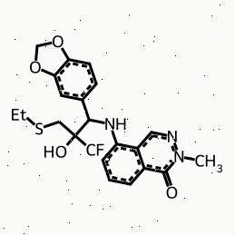 CCSCC(O)(C(Nc1cccc2c(=O)n(C)ncc12)c1ccc2c(c1)OCO2)C(F)(F)F